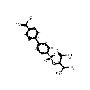 CC(C)C(NS(=O)(=O)c1ccc(-c2ccc(C(=O)O)cc2)cc1)C(=O)O